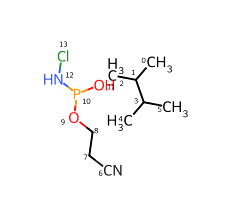 CC(C)C(C)C.N#CCCOP(O)NCl